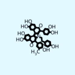 Cc1cc(C2=c3c(c4c(n3CCc3ccc(O)cc3)=C(c3ccc(O)c(O)c3)C(=O)c3cc(O)c(O)cc3-4)-c3cc(O)c(O)cc3C2=O)ccc1O